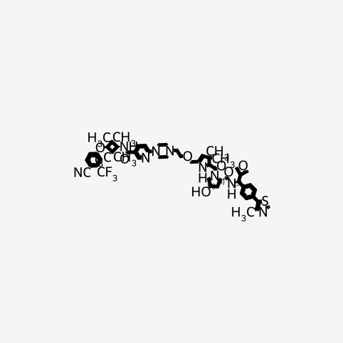 Cc1ncsc1-c1ccc([C@@H](NC(=O)[C@@H]2C[C@@H](O)CN2C(=O)C2NC(COCCN3CCN(c4ccc(C(=O)N[C@H]5C(C)(C)[C@H](Oc6ccc(C#N)c(C(F)(F)F)c6)C5(C)C)cn4)CC3)=CC2(C)C)C2COC2)cc1